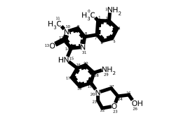 Cc1c(N)cccc1-c1cn(C)c(=O)c(Nc2ccc(N3CCOC(CO)C3)c(N)c2)n1